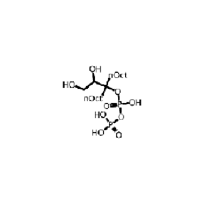 CCCCCCCCC(CCCCCCCC)(OP(=O)(O)OP(=O)(O)O)C(O)CO